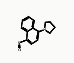 O=Nc1ccc(N2CCCC2)c2ccccc12